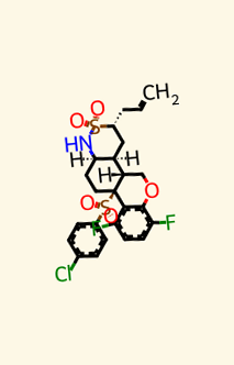 C=CC[C@@H]1C[C@@H]2[C@@H](CC[C@@]3(S(=O)(=O)c4ccc(Cl)cc4)c4c(F)ccc(F)c4OC[C@@H]23)NS1(=O)=O